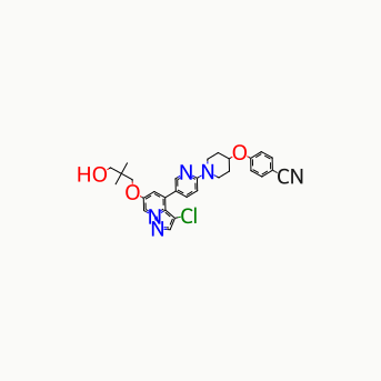 CC(C)(CO)COc1cc(-c2ccc(N3CCC(Oc4ccc(C#N)cc4)CC3)nc2)c2c(Cl)cnn2c1